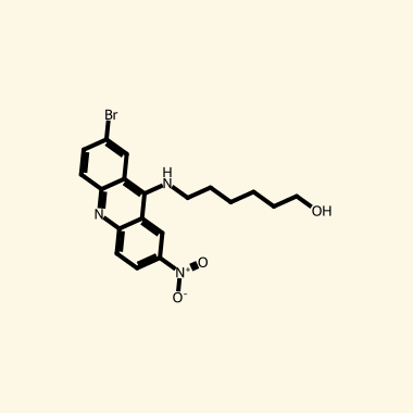 O=[N+]([O-])c1ccc2nc3ccc(Br)cc3c(NCCCCCCO)c2c1